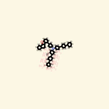 Bc1c(B)c(B)c(-c2c(B)c(B)c(-c3c(B)c(B)c(N(c4ccc(-c5ccc(-c6ccccc6)cc5)cc4)c4ccc(-c5cccc6oc7c8ccccc8ccc7c56)cc4)c(B)c3B)c(B)c2B)c(B)c1B